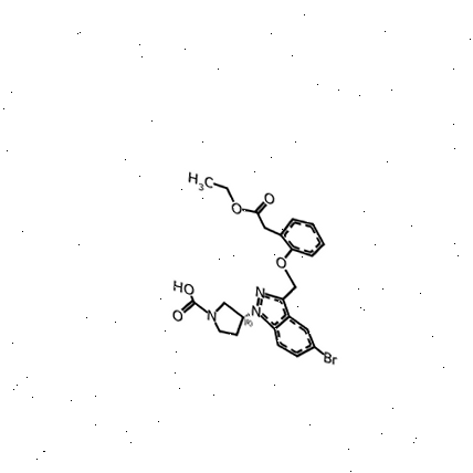 CCOC(=O)Cc1ccccc1OCc1nn([C@@H]2CCN(C(=O)O)C2)c2ccc(Br)cc12